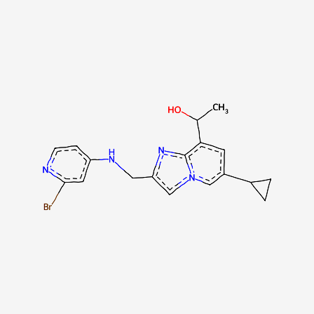 CC(O)c1cc(C2CC2)cn2cc(CNc3ccnc(Br)c3)nc12